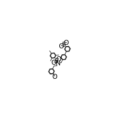 COc1cccc(CCN(Cc2ccc(-c3cccc(S(C)(=O)=O)c3)cc2)S(=O)(=O)c2c(C)cc(C)cc2C)c1